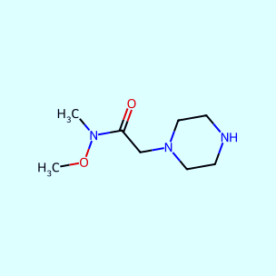 CON(C)C(=O)CN1CCNCC1